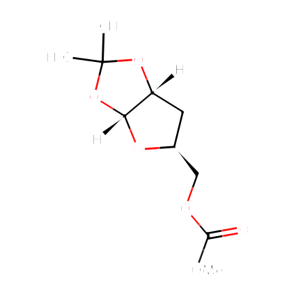 COC(=O)OC[C@@H]1C[C@H]2OC(C)(C)O[C@H]2O1